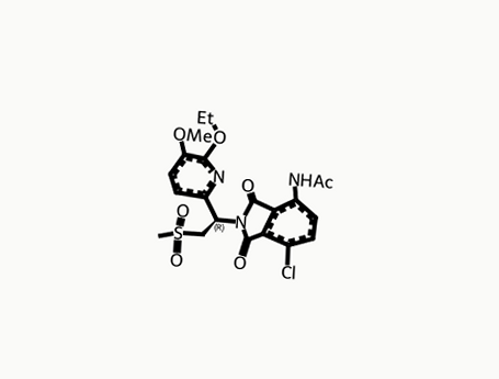 CCOc1nc([C@H](CS(C)(=O)=O)N2C(=O)c3c(Cl)ccc(NC(C)=O)c3C2=O)ccc1OC